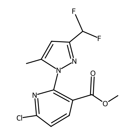 COC(=O)c1ccc(Cl)nc1-n1nc(C(F)F)cc1C